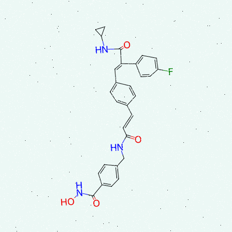 O=C(C=Cc1ccc(/C=C(/C(=O)NC2CC2)c2ccc(F)cc2)cc1)NCc1ccc(C(=O)NO)cc1